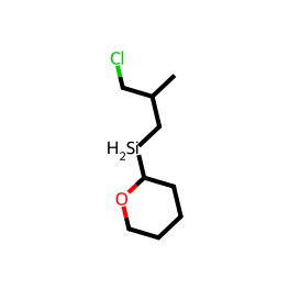 CC(CCl)C[SiH2]C1CCCCO1